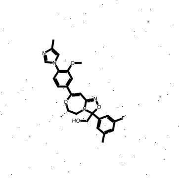 COc1cc(C2=CC3=NOC(CO)(c4cc(C)cc(F)c4)N3C[C@H](C)O2)ccc1-n1cnc(C)c1